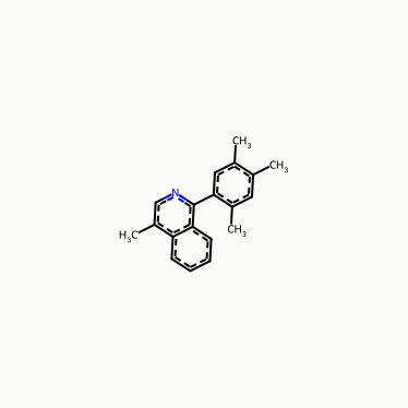 Cc1cc(C)c(-c2ncc(C)c3ccccc23)cc1C